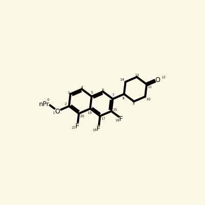 CCCOc1ccc2cc(C3CCC(=O)CC3)c(F)c(F)c2c1F